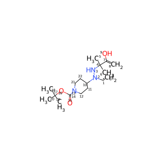 C=CN(NC(C)(C)C(=C)O)C1CCN(C(=O)OC(C)(C)C)CC1